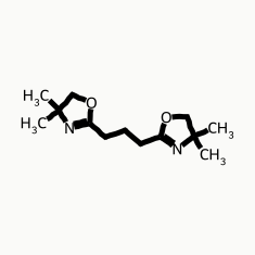 CC1(C)COC(CCCC2=NC(C)(C)CO2)=N1